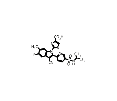 Cc1cc2c(cc1F)c(C#N)c(-c1ccc(S(=O)(=O)N[C@@H](C)C(F)(F)F)cn1)n2-c1nc(C(=O)O)cs1